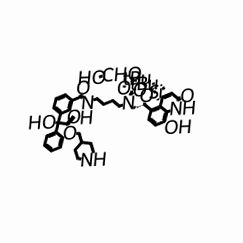 CC(C)(C)OC(=O)N(CCCCNC(=O)c1cccc(C(O)(C(=O)OCC2CCNCC2)c2ccccc2)c1)C[C@H](O[Si](C)(C)C(C)(C)C)c1ccc(O)c2[nH]c(=O)ccc12.O=CO